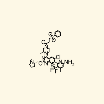 Cc1cc(N)nc(-c2c(Cl)cc3c(N4CCN(C(=O)CCS(=O)(=O)c5ccccc5)C[C@@H]4C)nc(OC[C@@H]4CCCN4C)nc3c2F)c1C(F)(F)F